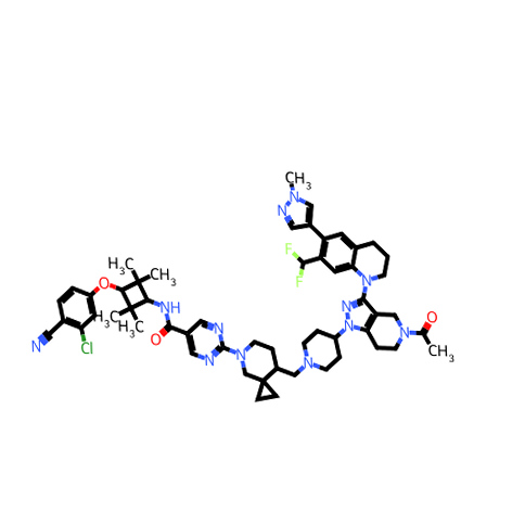 CC(=O)N1CCc2c(c(N3CCCc4cc(-c5cnn(C)c5)c(C(F)F)cc43)nn2C2CCN(CC3CCN(c4ncc(C(=O)NC5C(C)(C)C(Oc6ccc(C#N)c(Cl)c6)C5(C)C)cn4)CC34CC4)CC2)C1